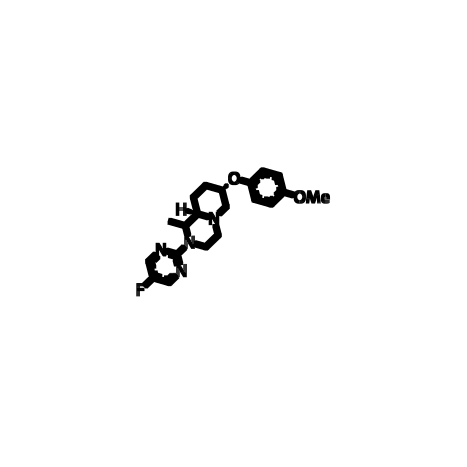 COc1ccc(O[C@H]2CC[C@H]3C(C)N(c4ncc(F)cn4)CCN3C2)cc1